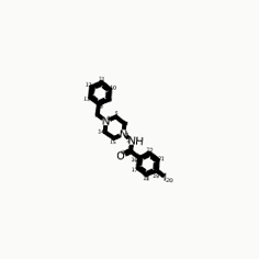 O=C(NN1CCN(Cc2ccccc2)CC1)c1ccc(I)cc1